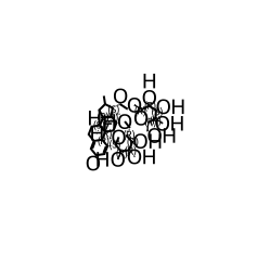 CC1C[C@H]2[C@@H]3CCC4=CC(=O)C=C([C@@H]5O[C@H](CO)[C@H](O)[C@H](O)[C@H]5O)[C@]4(C)[C@@]3(F)CC[C@]2(C)[C@H]1C(=O)CO[C@@H]1O[C@H](CO)[C@H](O)[C@H](O)[C@H]1O